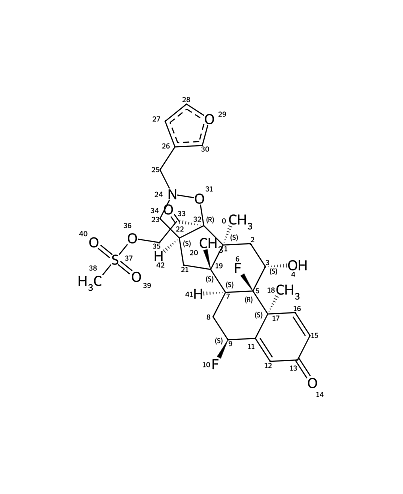 C[C@]12C[C@H](O)[C@@]3(F)[C@@H](C[C@H](F)C4=CC(=O)C=C[C@@]43C)[C@]1(C)C[C@H]1CN(Cc3ccoc3)O[C@]12C(=O)COS(C)(=O)=O